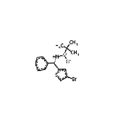 CC(C)(C)[S+]([O-])N[C@@H](c1ccccc1)c1cc(Br)cs1